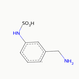 NCc1[c]ccc(NS(=O)(=O)O)c1